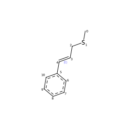 CSC/C=C/c1ccccc1